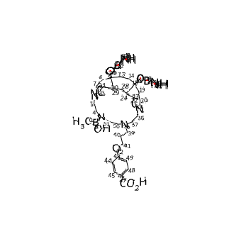 CB(O)N1CCN2CCC(OB=N)CCC(OB=N)CCN(CCC(OB=N)CCC(OB=N)CC2)CCN(CCCOc2ccc(C(=O)O)cc2)CC1